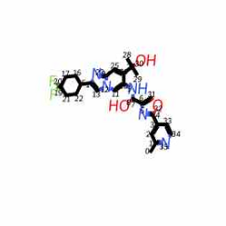 Cc1cc(-c2nc(C(O)Nc3cn4cc(C5CCC(F)(F)CC5)nc4cc3C(C)(C)O)co2)ccn1